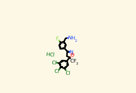 Cl.NCc1cc(C2=NOC(c3cc(Cl)c(Cl)c(Cl)c3)(C(F)(F)F)C2)ccc1F